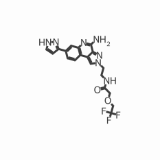 Nc1nc2cc(-c3cc[nH]n3)ccc2c2cn(CCNC(=O)COCC(F)(F)F)nc12